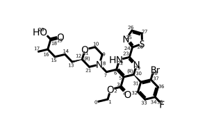 CCOC(=O)C1=C(CN2CCO[C@H](CCCC(C)C(=O)O)C2)NC(c2nccs2)=N[C@H]1c1ccc(F)cc1Br